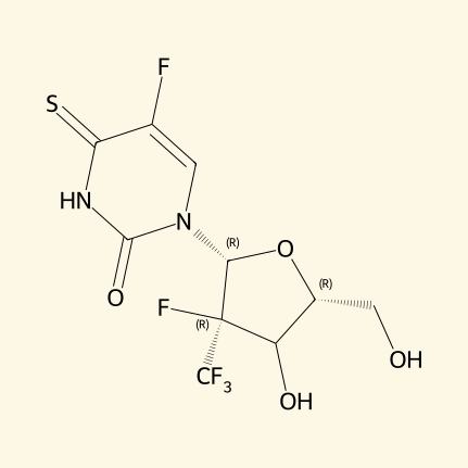 O=c1[nH]c(=S)c(F)cn1[C@@H]1O[C@H](CO)C(O)[C@]1(F)C(F)(F)F